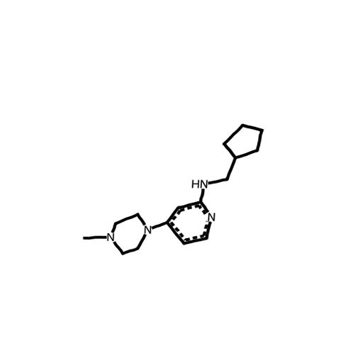 CN1CCN(c2ccnc(NCC3CCCC3)c2)CC1